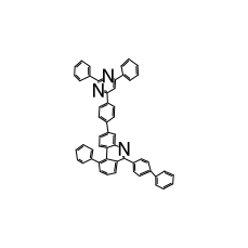 c1ccc(-c2ccc(-c3nc4cc(-c5ccc(-c6cc(-c7ccccc7)nc(-c7ccccc7)n6)cc5)ccc4c4c(-c5ccccc5)cccc34)cc2)cc1